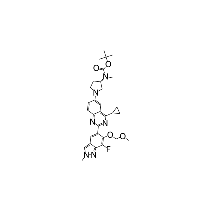 COCOc1c(-c2nc(C3CC3)c3cc(N4CC[C@@H](N(C)C(=O)OC(C)(C)C)C4)ccc3n2)cc2cn(C)nc2c1F